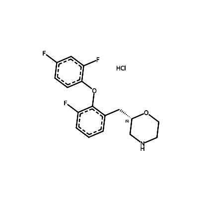 Cl.Fc1ccc(Oc2c(F)cccc2C[C@H]2CNCCO2)c(F)c1